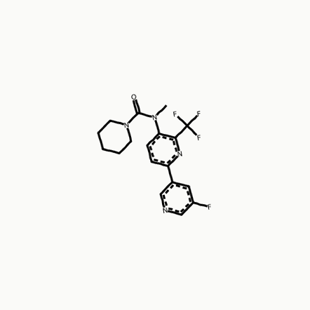 CN(C(=O)N1CCCCC1)c1ccc(-c2cncc(F)c2)nc1C(F)(F)F